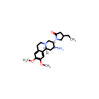 CCC1CC(=O)N([C@H]2CN3CCc4cc(OC)c(OC)cc4[C@@H]3C[C@@H]2N)C1